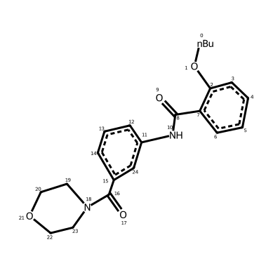 CCCCOc1ccccc1C(=O)Nc1cccc(C(=O)N2CCOCC2)c1